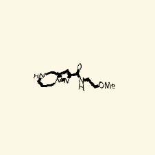 COCCNC(=O)c1cc2n(n1)CCCNC2